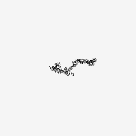 CN(CCNC[C@H](O)c1ccc(O)c2[nH]c(=O)ccc12)C(=O)CCOCCc1ccc(CN2CC3C[C@@H](OC(=O)Nc4ccccc4-c4ccccc4)C[C@@H]3C2)cc1